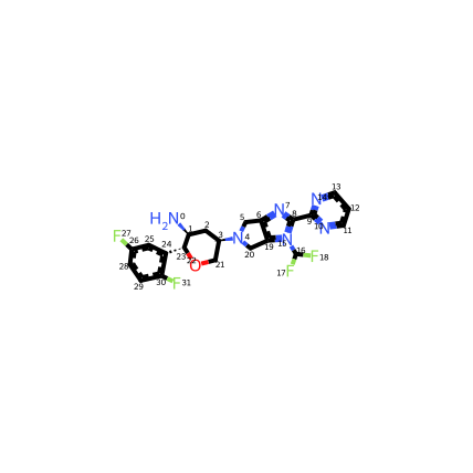 N[C@H]1C[C@@H](N2Cc3nc(-c4ncccn4)n(C(F)F)c3C2)CO[C@@H]1c1cc(F)ccc1F